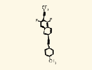 CC1CCC(C#Cc2ccc3c(F)c(C#CC(F)(F)F)c(F)cc3c2)CC1